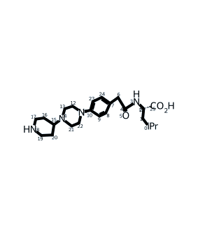 CC(C)C[C@H](NC(=O)Cc1ccc(N2CCN(C3CCNCC3)CC2)cc1)C(=O)O